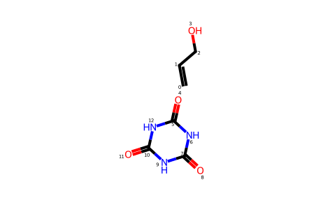 C=CCO.O=c1[nH]c(=O)[nH]c(=O)[nH]1